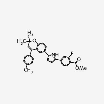 COC(=O)c1ccc(-c2ccc(-c3ccc4c(c3)C(c3ccc(C)cc3)=CC(C)(C)O4)[nH]2)cc1F